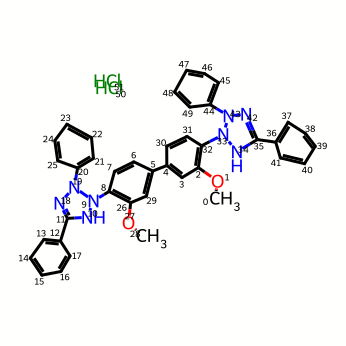 COc1cc(-c2ccc(N3NC(c4ccccc4)=NN3c3ccccc3)c(OC)c2)ccc1N1NC(c2ccccc2)=NN1c1ccccc1.Cl.Cl